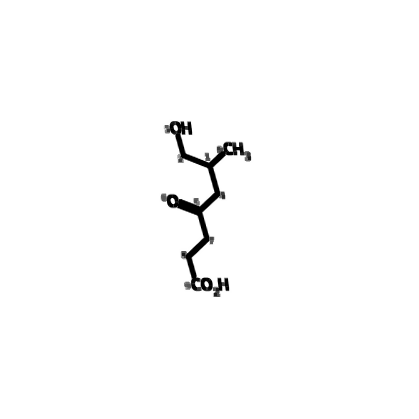 CC(CO)CC(=O)CCC(=O)O